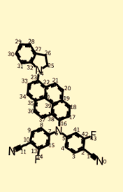 N#Cc1ccc(N(c2ccc(C#N)c(F)c2)c2ccc3ccc4c(N5CCc6ccccc65)ccc5ccc2c3c54)cc1F